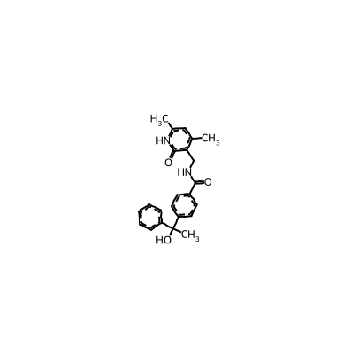 Cc1cc(C)c(CNC(=O)c2ccc(C(C)(O)c3ccccc3)cc2)c(=O)[nH]1